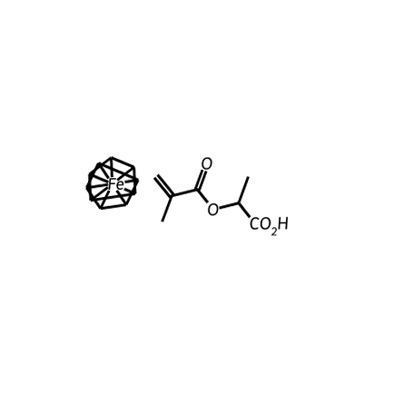 C=C(C)C(=O)OC(C)C(=O)O.[CH]12[CH]3[CH]4[CH]5[CH]1[Fe]23451678[CH]2[CH]1[CH]6[CH]7[CH]28